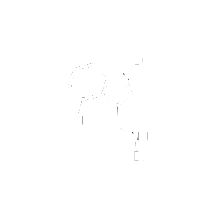 CCNCc1cn(CC)c2cccc(O)c12